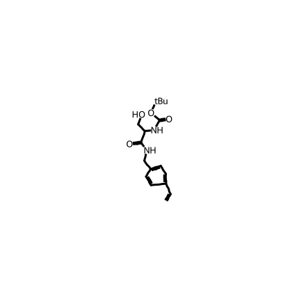 C=Cc1ccc(CNC(=O)C(CO)NC(=O)OC(C)(C)C)cc1